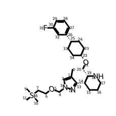 Cc1cn(COCC[Si](C)(C)C)nc1[C@H]1CCCN[C@H]1CO[C@H]1CC[C@@H](c2cccc(F)c2)CC1